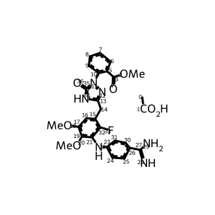 CC(=O)O.COC(=O)c1ccccc1-n1nc(Cc2cc(OC)c(OC)c(Nc3ccc(C(=N)N)cc3)c2F)[nH]c1=O